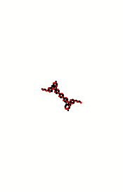 CCCCc1ccc(N(C2=CC=C(C)CC=C2)c2ccc(-c3ccc(-c4ccc(N(c5ccc(C)cc5)c5ccc(CCCC)cc5)cc4)cc3)cc2)cc1